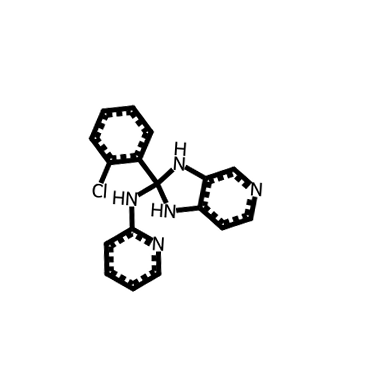 Clc1ccccc1C1(Nc2ccccn2)Nc2ccncc2N1